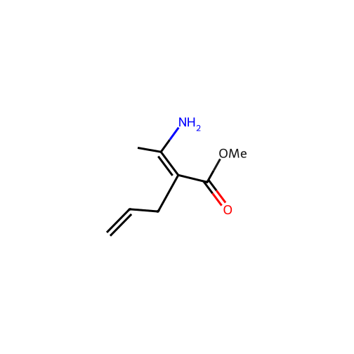 C=CCC(C(=O)OC)=C(C)N